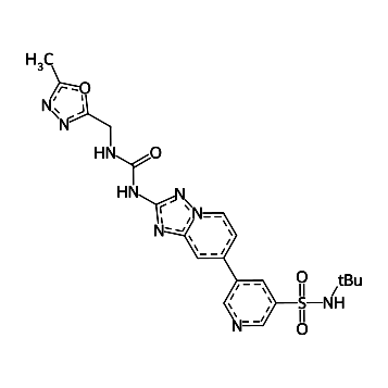 Cc1nnc(CNC(=O)Nc2nc3cc(-c4cncc(S(=O)(=O)NC(C)(C)C)c4)ccn3n2)o1